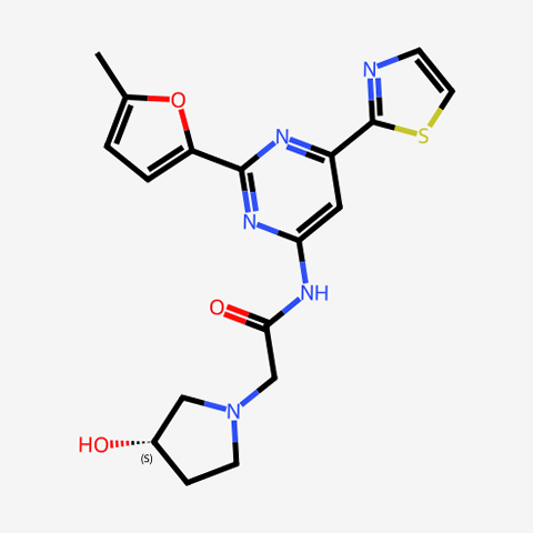 Cc1ccc(-c2nc(NC(=O)CN3CC[C@H](O)C3)cc(-c3nccs3)n2)o1